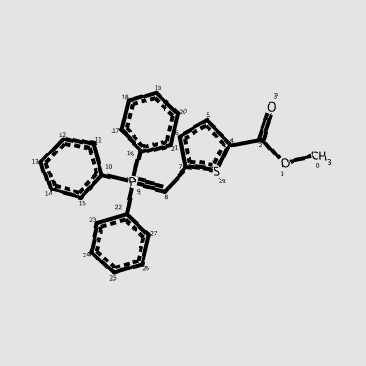 COC(=O)c1ccc(C=P(c2ccccc2)(c2ccccc2)c2ccccc2)s1